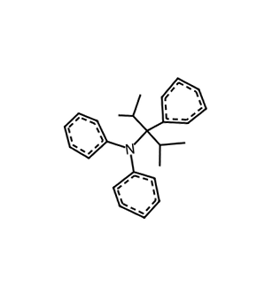 CC(C)C(c1ccccc1)(C(C)C)N(c1ccccc1)c1ccccc1